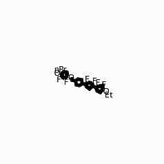 CCCOc1ccc(OCC2CCC(c3ccc(-c4ccc(OCC)c(F)c4F)c(F)c3F)CC2)c(F)c1F